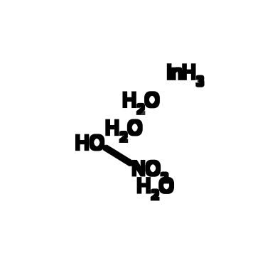 O.O.O.O=[N+]([O-])O.[InH3]